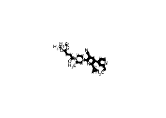 C=Cc1cc(-c2cc(C#N)c(N3CCN(C(=O)CCC(OC)OC)C(C)C3)nc2C2CC2)ccn1